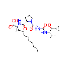 CCCCCCCCC1C[C@]1(NC(=O)[C@@H]1CCCN1C(=O)CNC(=O)N[C@H](C(=O)C1CC1)C(C)C)C(=O)O